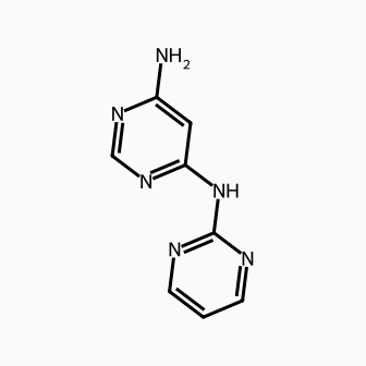 Nc1cc(Nc2ncccn2)ncn1